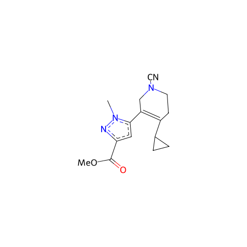 COC(=O)c1cc(C2=C(C3CC3)CCN(C#N)C2)n(C)n1